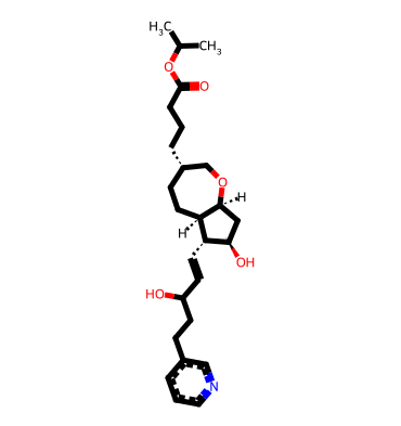 CC(C)OC(=O)CCC[C@H]1CC[C@@H]2[C@@H](/C=C/C(O)CCc3cccnc3)[C@H](O)C[C@@H]2OC1